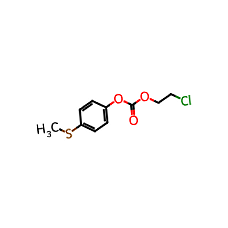 CSc1ccc(OC(=O)OCCCl)cc1